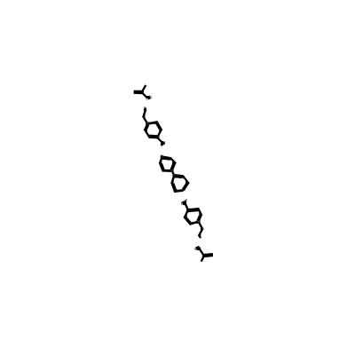 C=C(C)C(=O)OCCc1ccc(C(=O)Oc2ccc(-c3ccc(OC(=O)c4ccc(CCOC(=O)C(=C)C)cc4)cc3)cc2)cc1